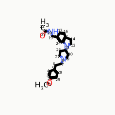 COc1ccc(CCN2CCC(N3CCc4ccc(CNC(C)=O)cc43)CC2)cc1